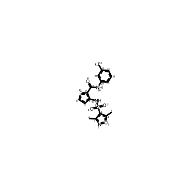 Cc1noc(C)c1S(=O)(=O)Nc1ccsc1C(=O)Nc1cccc(Cl)c1